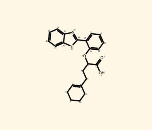 O=C(O)C(CCC1=CCCCC1)Oc1ccccc1-c1nc2ccccc2s1